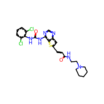 O=C(/C=C/c1cc2ncnc(NC(=O)Nc3c(Cl)cccc3Cl)c2s1)NCCN1CCCCC1